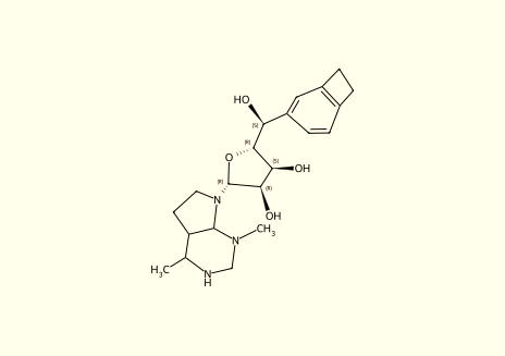 CC1NCN(C)C2C1CCN2[C@@H]1O[C@H]([C@@H](O)c2ccc3c(c2)CC3)[C@@H](O)[C@H]1O